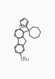 CC(C)(C)c1ccc2c(c1)Cc1c-2ccc(C(C)(C)C)c1C1(C2=CC=CC2)CCCCCC1